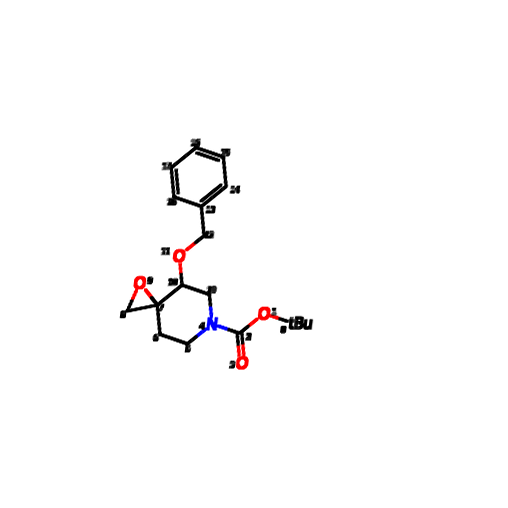 CC(C)(C)OC(=O)N1CCC2(CO2)C(OCc2ccccc2)C1